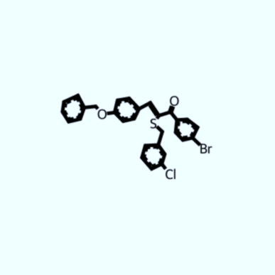 O=C(C(=Cc1ccc(OCc2ccccc2)cc1)SCc1cccc(Cl)c1)c1ccc(Br)cc1